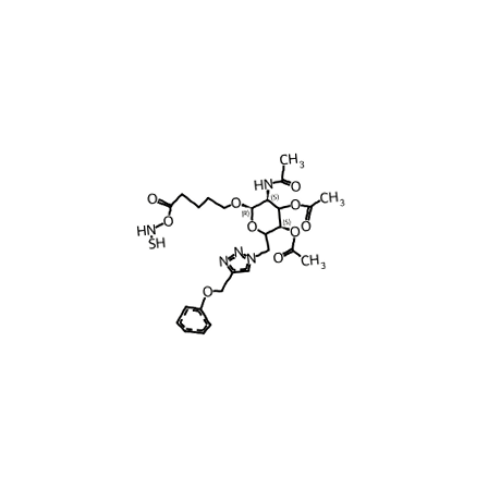 CC(=O)N[C@H]1C(OC(C)=O)[C@@H](OC(C)=O)C(Cn2cc(COc3ccccc3)nn2)O[C@H]1OCCCCC(=O)ONS